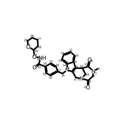 CN1CC(=O)N2Cc3c(c4ccccc4n3Cc3ccc(C(=O)NOC4CCCCO4)cc3)C(C2)C1=O